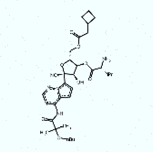 CCCCOC(C)(C)C(=O)Nc1ncnn2c([C@]3(C#N)O[C@H](COC(=O)CC4CCC4)[C@@H](OC(=O)[C@H](N)C(C)C)[C@H]3O)ccc12